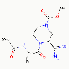 COC(=O)N[C@H](C(=O)N1CCN(C(=O)OC(C)(C)C)C[C@H]1C(=N)N)C(C)C